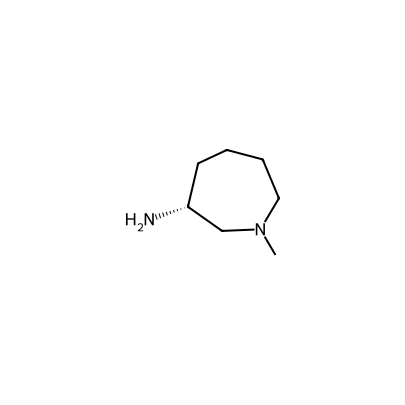 CN1CCCC[C@@H](N)C1